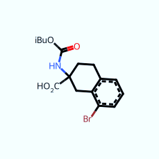 CC(C)COC(=O)NC1(C(=O)O)CCc2cccc(Br)c2C1